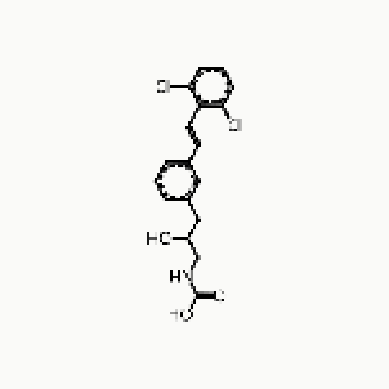 O=C(O)NCC(O)Cc1cccc(/C=C/c2c(Cl)cccc2Cl)c1